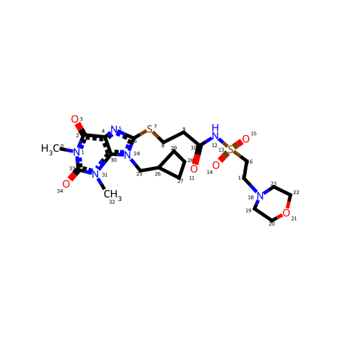 Cn1c(=O)c2nc(SCCC(=O)NS(=O)(=O)CCN3CCOCC3)n(CC3CCC3)c2n(C)c1=O